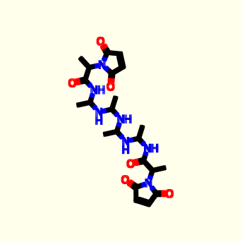 CC(NC(=O)C(C)N1C(=O)C=CC1=O)NC(C)NC(C)NC(C)NC(=O)C(C)N1C(=O)C=CC1=O